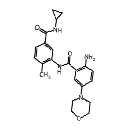 Cc1ccc(C(=O)NC2CC2)cc1NC(=O)c1cc(N2CCOCC2)ccc1N